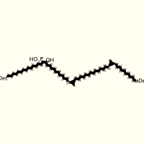 CCCCCCCCCCCCCCCCCCCCCCCC[C@@H](C(=O)O)[C@H](O)CCCCCCCCCCC[C@H]1CC1CCCCCCCCCCCCCC[C@H]1C[C@H]1CCCCCCCCCCCCCCCCCCCC